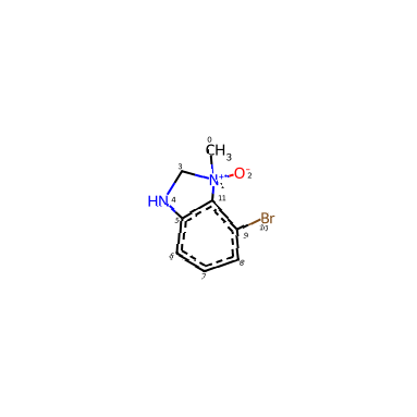 C[N+]1([O-])CNc2cccc(Br)c21